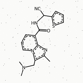 Cc1nc2c(C(=O)NC(C#N)c3cccs3)cccn2c1CN(C)C